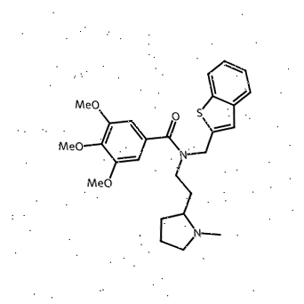 COc1cc(C(=O)N(CCC2CCCN2C)Cc2cc3ccccc3s2)cc(OC)c1OC